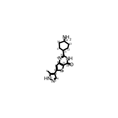 Cc1[nH]ncc1-c1cc2nc(C3CCC(N)CC3)[nH]c(=O)c2s1